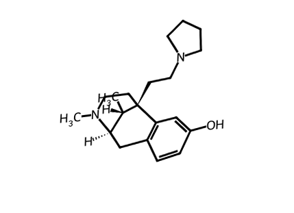 C[C@H]1[C@H]2Cc3ccc(O)cc3[C@@]1(CCN1CCCC1)CCN2C